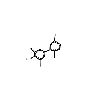 Cc1ccc(C)c(-c2cc(C)c(O)c(C)c2)c1